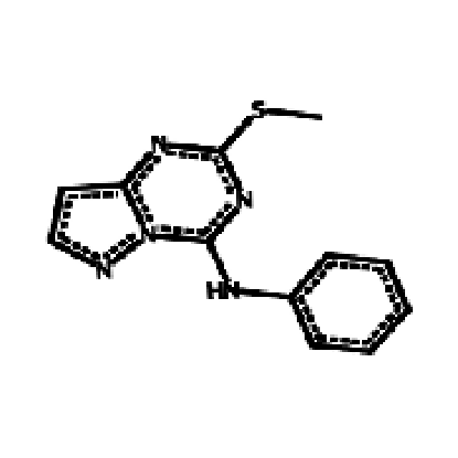 CSc1nc(Nc2ccccc2)n2nccc2n1